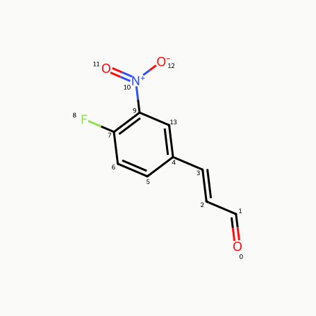 O=C/C=C/c1ccc(F)c([N+](=O)[O-])c1